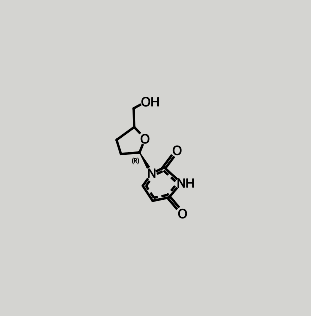 O=c1ccn([C@H]2CCC(CO)O2)c(=O)[nH]1